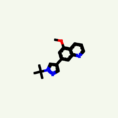 COc1cc(-c2cnn(C(C)(C)C)c2)cc2ncccc12